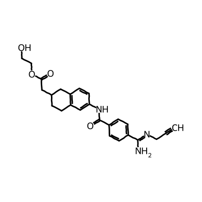 C#CCN=C(N)c1ccc(C(=O)Nc2ccc3c(c2)CCC(CC(=O)OCCO)C3)cc1